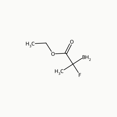 BC(C)(F)C(=O)OCC